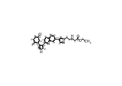 CCOC(=O)CNCCn1cc(-c2cnc3ccc(-c4c[nH]nc4-c4cc(Cl)ccc4F)nc3c2)cn1